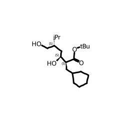 CC(C)[C@@H](CO)C[C@H](O)[C@H](CC1CCCCC1)C(=O)OC(C)(C)C